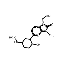 Cn1c(=O)n(CC(C)(C)C)c2ccc(C3CC(NC(=O)O)CCC3O)nc21